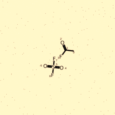 CC(=O)F.O=S(=O)(F)F